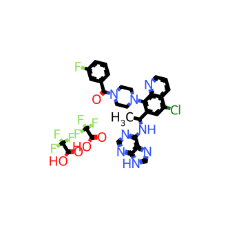 CC(Nc1ncnc2[nH]cnc12)c1cc(Cl)c2cccnc2c1N1CCN(C(=O)c2cccc(F)c2)CC1.O=C(O)C(F)(F)F.O=C(O)C(F)(F)F